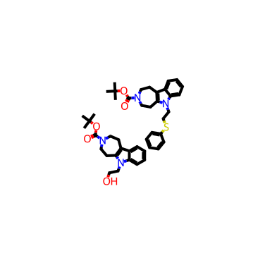 CC(C)(C)OC(=O)N1CCc2c(n(CCO)c3ccccc23)CC1.CC(C)(C)OC(=O)N1CCc2c(n(CCSc3ccccc3)c3ccccc23)CC1